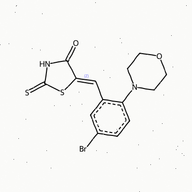 O=C1NC(=S)S/C1=C\c1cc(Br)ccc1N1CCOCC1